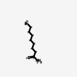 NC(=O)CCCCCCCBr